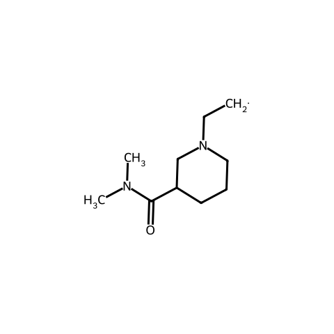 [CH2]CN1CCCC(C(=O)N(C)C)C1